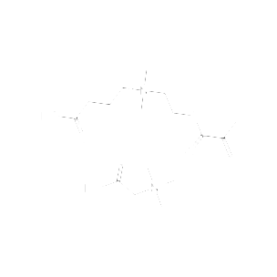 C=C(C)C(=O)OCC[N+](C)(C)CCCC(=O)O.C[N+](C)(C)CC(=O)O